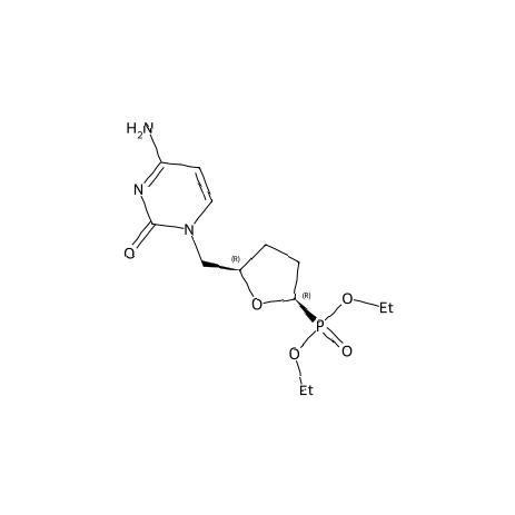 CCOP(=O)(OCC)[C@@H]1CC[C@H](Cn2ccc(N)nc2=O)O1